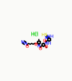 COc1cc(C(=O)N(C)c2ccc(C)cc2OCCCCCC(=O)N2CCN(C)CC2)ccc1NC(=O)c1cccc2[nH]c(S)nc12.Cl.Cl